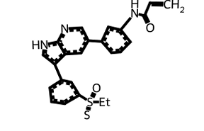 C=CC(=O)Nc1cccc(-c2cnc3[nH]cc(-c4cccc(S(=O)(=S)CC)c4)c3c2)c1